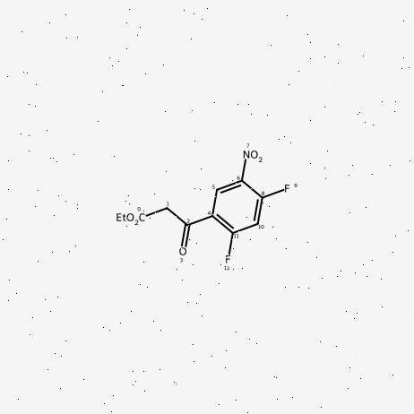 CCOC(=O)CC(=O)c1cc([N+](=O)[O-])c(F)cc1F